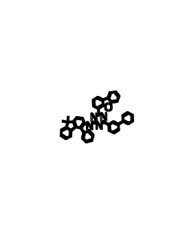 CC1(C)c2ccccc2-c2c1ccc1c2c2ccccc2n1-c1nc(-c2cccc(-c3ccccc3)c2)nc(-c2cccc3c2oc2ccccc23)n1